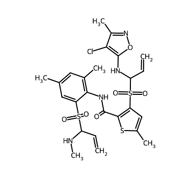 C=CC(Nc1onc(C)c1Cl)S(=O)(=O)c1cc(C)sc1C(=O)Nc1c(C)cc(C)cc1S(=O)(=O)C(C=C)NC